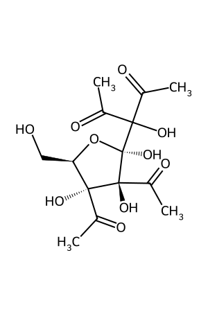 CC(=O)C(O)(C(C)=O)[C@]1(O)O[C@H](CO)[C@](O)(C(C)=O)[C@@]1(O)C(C)=O